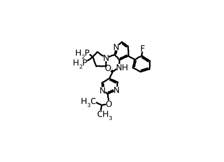 CC(C)Oc1ncc(C(=O)Nc2c(-c3ccccc3F)ccnc2N2CCC(P)(P)C2)cn1